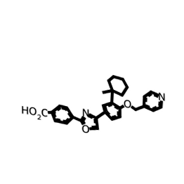 CC1(c2cc(-c3coc(-c4ccc(C(=O)O)cc4)n3)ccc2OCc2ccncc2)CCCCC1